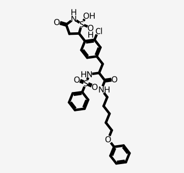 O=C1CC(c2ccc(CC(NS(=O)(=O)c3ccccc3)C(=O)NCCCCCOc3ccccc3)cc2Cl)S(O)(O)N1